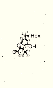 CCCCCCC(C)(C)c1cc(O)c2c3c(oc2c1)C(=O)CCC3(C)C